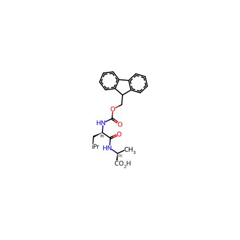 CC(C)C[C@@H](NC(=O)OCC1c2ccccc2-c2ccccc21)C(=O)N[C@@H](C)C(=O)O